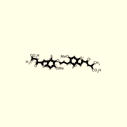 COc1cc2sc(C(=O)CC(C)C(=O)O)cc2c(F)c1CCCOc1c(OC)cc2sc(C(=O)CC(C)C(=O)O)cc2c1F